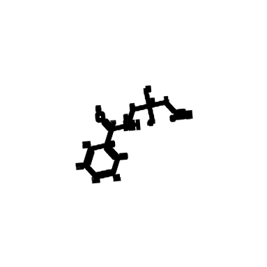 CC(C)(C)CC(C)(C)CNC(=O)c1ccccc1